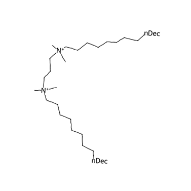 CCCCCCCCCCCCCCCCCC[N+](C)(C)CCC[N+](C)(C)CCCCCCCCCCCCCCCCCC